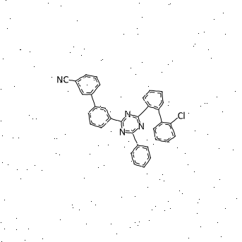 N#Cc1cccc(-c2cccc(-c3nc(-c4ccccc4)nc(-c4ccccc4-c4ccccc4Cl)n3)c2)c1